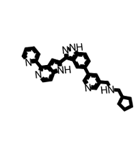 c1ccc(-c2nccc3[nH]c(-c4n[nH]c5ccc(-c6cncc(CNCC7CCCC7)c6)cc45)cc23)nc1